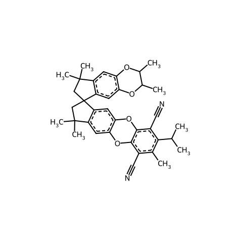 Cc1c(C#N)c2c(c(C#N)c1C(C)C)Oc1cc3c(cc1O2)C(C)(C)CC31CC(C)(C)c2cc3c(cc21)OC(C)C(C)O3